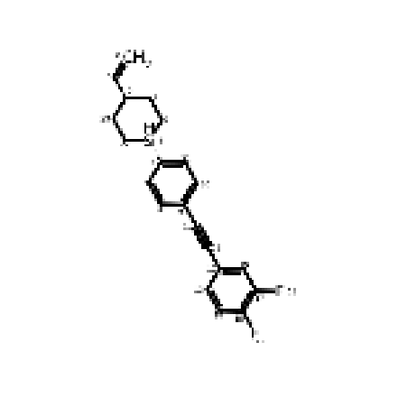 C=C[C@H]1CC[Si@H](c2ccc(C#Cc3ccc(F)c(F)c3)cc2)CC1